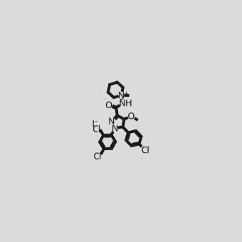 COC1C(C(=O)N[N+]2(C)CCCCC2)=NN(c2ccc(Cl)cc2Cl)C1c1ccc(Cl)cc1.[I-]